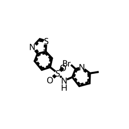 Cc1ccc(NS(=O)(=O)c2ccc3ncsc3c2)c(Br)n1